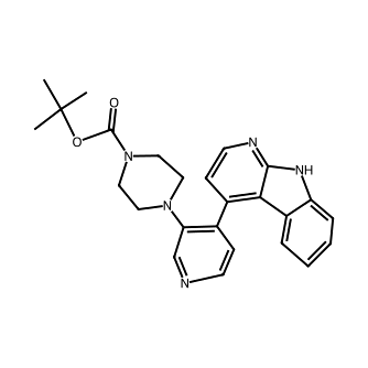 CC(C)(C)OC(=O)N1CCN(c2cnccc2-c2ccnc3[nH]c4ccccc4c23)CC1